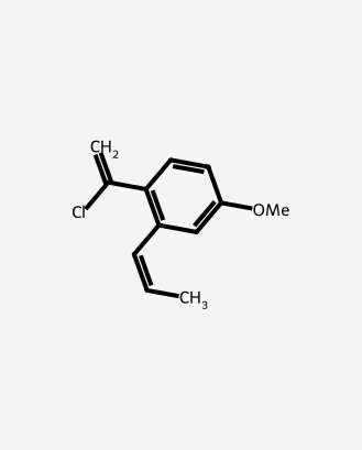 C=C(Cl)c1ccc(OC)cc1/C=C\C